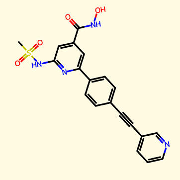 CS(=O)(=O)Nc1cc(C(=O)NO)cc(-c2ccc(C#Cc3cccnc3)cc2)n1